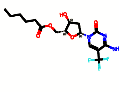 CCCCCC(=O)OC[C@H]1O[C@@H](n2cc(C(F)(F)F)c(N)nc2=O)C[C@@H]1O